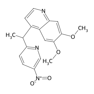 COc1cc2nccc(C(C)c3ccc([N+](=O)[O-])cn3)c2cc1OC